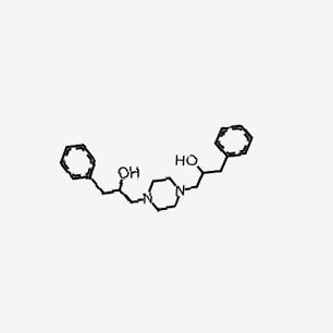 OC(Cc1ccccc1)CN1CCN(CC(O)Cc2ccccc2)CC1